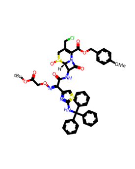 COc1ccc(COC(=O)C2=C(CCl)C[S+]([O-])[C@H]3C(NC(=O)/C(=N\OCC(=O)OC(C)(C)C)c4csc(NC(c5ccccc5)(c5ccccc5)c5ccccc5)n4)C(=O)N23)cc1